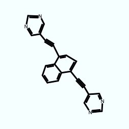 C(#Cc1ccc(C#Cc2cncnc2)c2ccccc12)c1cncnc1